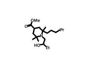 CCC(O)CN1C(C)(C)CC(C(=O)OC)CC1(C)CCCC(C)C